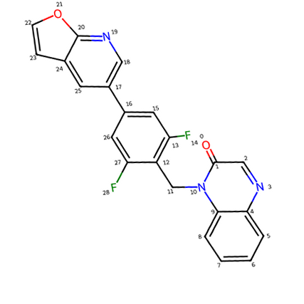 O=c1cnc2ccccc2n1Cc1c(F)cc(-c2cnc3occc3c2)cc1F